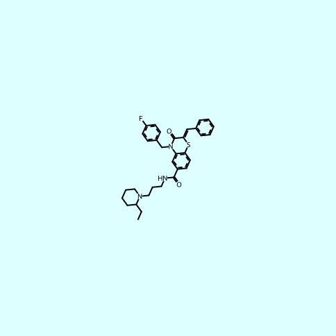 CCC1CCCCN1CCCNC(=O)c1ccc2c(c1)N(Cc1ccc(F)cc1)C(=O)C(=Cc1ccccc1)S2